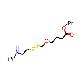 CC(C)NCCSSCOCCCC(=O)OC(C)C